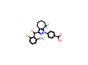 Cc1cccc(Cl)c1C(=O)c1nn(-c2ccc(C(=O)O)cc2)c2c1CCCCC2(F)F